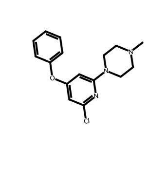 CN1CCN(c2cc(Oc3ccccc3)cc(Cl)n2)CC1